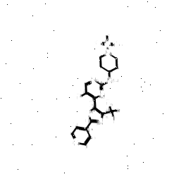 CS(=O)(=O)N1CCC(Nc2ncc(F)c(-c3sc(-c4ccncc4)nc3C(F)(F)F)n2)CC1